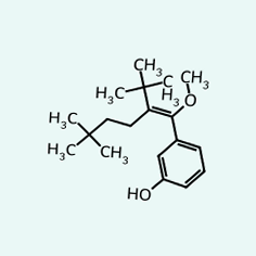 CO/C(=C(/CCC(C)(C)C)C(C)(C)C)c1cccc(O)c1